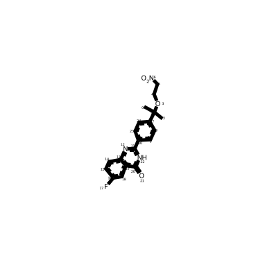 CC(C)(OCC[N+](=O)[O-])c1ccc(-c2nc3ccc(F)cc3c(=O)[nH]2)cc1